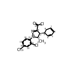 C[C@H]1[C@H](C2C=CC=CC2)C(C(=O)Cl)=NN1c1ccc(Cl)cc1Cl